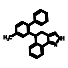 Cc1ccc(-c2ccccc2)c(N2Cc3c[nH]nc3-c3ccccc32)c1